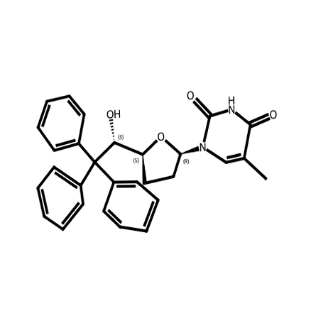 Cc1cn([C@H]2CC[C@@H]([C@@H](O)C(c3ccccc3)(c3ccccc3)c3ccccc3)O2)c(=O)[nH]c1=O